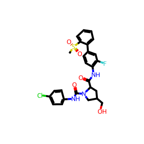 CS(=O)(=O)c1ccccc1-c1ccc(NC(=O)C2CC(CO)CN2C(=O)Nc2ccc(Cl)cc2)c(F)c1